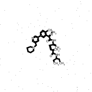 C=C(/C=C\C(=C/C)NC(=O)/C(=N/C)c1cc(-c2cncc(CN3CCCCC3)c2)ccc1C)C(=O)NC(CC)CC